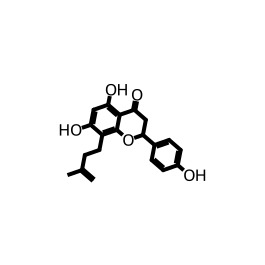 C=C(C)CCc1c(O)cc(O)c2c1OC(c1ccc(O)cc1)CC2=O